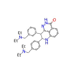 CCN(CC)Cc1ccc(C2Nc3cccc4c(=O)[nH]nc(c34)C2c2cccc(CN(CC)CC)c2)cc1